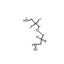 CCNCC(F)(F)COCC(F)(F)CO